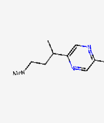 CNCCC(C)c1cnc(C)cn1